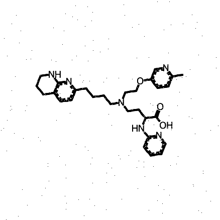 Cc1ccc(OCCN(CCCCc2ccc3c(n2)NCCC3)CCC(Nc2ccccn2)C(=O)O)cn1